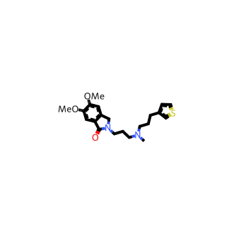 COc1cc2c(cc1OC)C(=O)N(CCCN(C)CCCc1ccsc1)C2